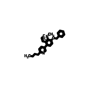 C=Nc1c(OCc2ccccc2)ccc(-c2ccc(CCCC)nc2)c1/C=C\C